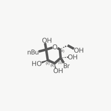 CCCCC1(O)O[C@H](CO)[C@@](O)(Br)[C@H](O)[C@H]1O